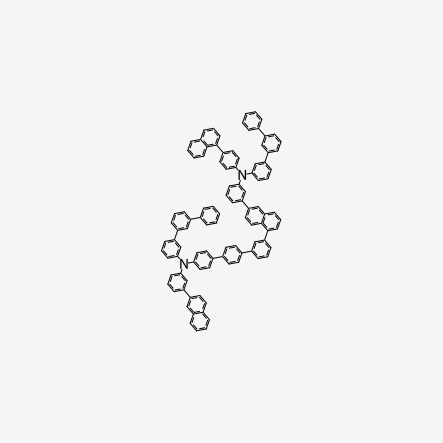 c1ccc(-c2cccc(-c3cccc(N(c4ccc(-c5ccc(-c6cccc(-c7cccc8cc(-c9cccc(N(c%10ccc(-c%11cccc%12ccccc%11%12)cc%10)c%10cccc(-c%11cccc(-c%12ccccc%12)c%11)c%10)c9)ccc78)c6)cc5)cc4)c4cccc(-c5ccc6ccccc6c5)c4)c3)c2)cc1